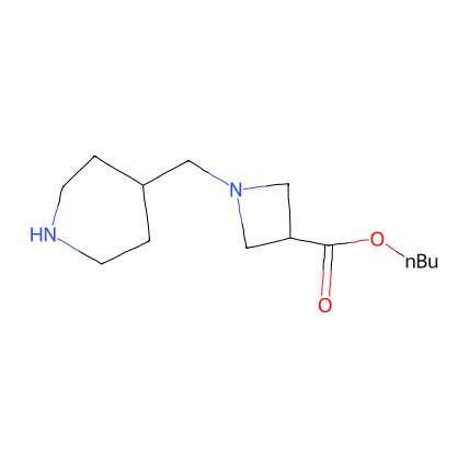 CCCCOC(=O)C1CN(CC2CCNCC2)C1